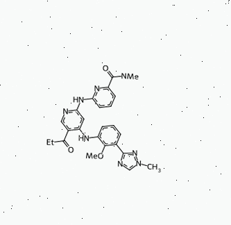 CCC(=O)c1cnc(Nc2cccc(C(=O)NC)n2)cc1Nc1cccc(-c2ncn(C)n2)c1OC